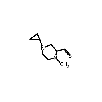 CN1CCN(C2CC2)CC1C=S